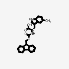 Cc1ccc2[nH]cc(C[C@@H](NC(=O)OCC3c4ccccc4-c4ccccc43)C(=O)O)c2c1